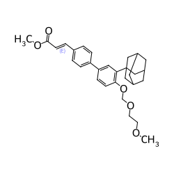 COCCOCOc1ccc(-c2ccc(/C=C/C(=O)OC)cc2)cc1C12CC3CC(CC(C3)C1)C2